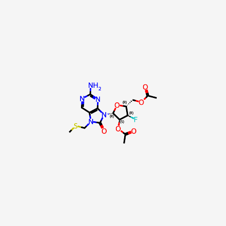 CSCn1c(=O)n([C@@H]2O[C@H](COC(C)=O)[C@@H](F)[C@H]2OC(C)=O)c2nc(N)ncc21